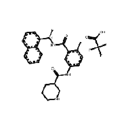 Cc1ccc(NC(=O)C2CCCNC2)cc1C(=O)N[C@H](C)c1cccc2ccccc12.O=C(O)C(F)(F)F